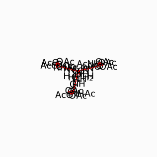 CC(=O)NC1C(OC(C)=O)[C@H](OC(C)=O)C(COC(C)=O)O[C@H]1OCCCCC(=O)NCCCNC(=O)CCOCC(CN)(COCCC(=O)NCCCNC(=O)CCCCO[C@@H]1OC(COC(C)=O)[C@@H](OC(C)=O)C(OC(C)=O)C1NC(C)=O)COCCC(=O)NCCCNC(=O)CCCCO[C@@H]1OC(COC(C)=O)[C@@H](OC(C)=O)[C@H](OC(C)=O)C1NC(C)=O